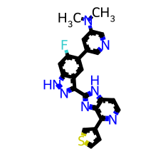 CN(C)c1cncc(-c2cc3c(-c4nc5c(-c6ccsc6)nccc5[nH]4)n[nH]c3cc2F)c1